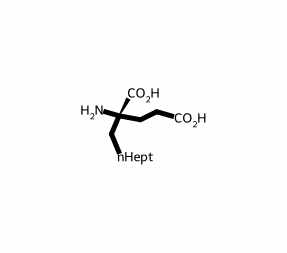 CCCCCCCC[C@](N)(CCC(=O)O)C(=O)O